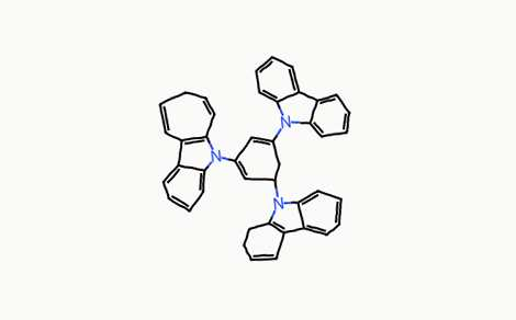 C1=Cc2c(n(C3=CC(n4c5c(c6ccccc64)C=CCC5)CC(n4c5ccccc5c5ccccc54)=C3)c3ccccc23)C=CC1